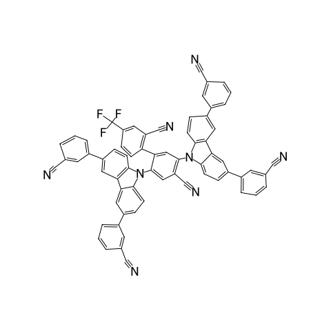 N#Cc1cccc(-c2ccc3c(c2)c2cc(-c4cccc(C#N)c4)ccc2n3-c2cc(-c3ccc(C(F)(F)F)cc3C#N)c(-n3c4ccc(-c5cccc(C#N)c5)cc4c4cc(-c5cccc(C#N)c5)ccc43)cc2C#N)c1